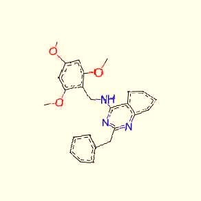 COc1cc(OC)c(CNc2nc(Cc3ccccc3)nc3ccccc23)c(OC)c1